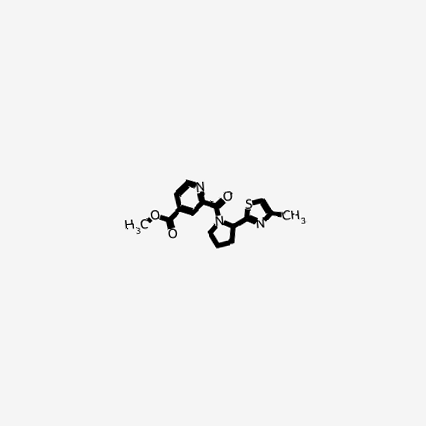 COC(=O)c1ccnc(C(=O)N2CCCC2c2nc(C)cs2)c1